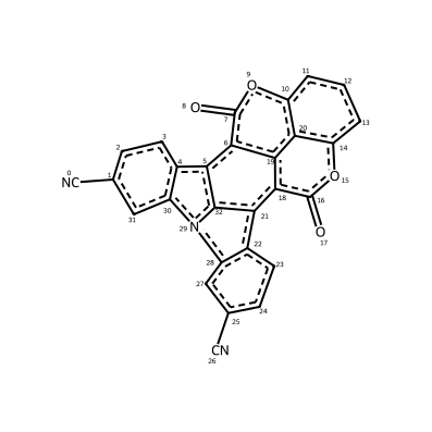 N#Cc1ccc2c3c4c(=O)oc5cccc6oc(=O)c(c4c56)c4c5ccc(C#N)cc5n(c2c1)c34